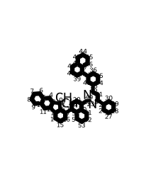 CC1(C)c2cc3ccccc3cc2-c2cccc(-c3ccc(-c4nc(-c5ccccc5)cc(-c5cccc(-c6cccc7ccccc67)c5)n4)c4ccccc34)c21